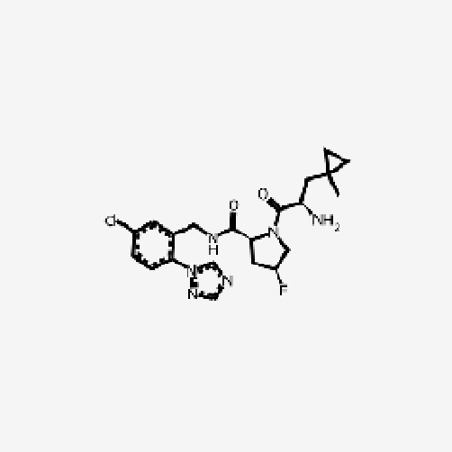 CC1(C[C@@H](N)C(=O)N2C[C@@H](F)C[C@H]2C(=O)NCc2cc(Cl)ccc2-n2cncn2)CC1